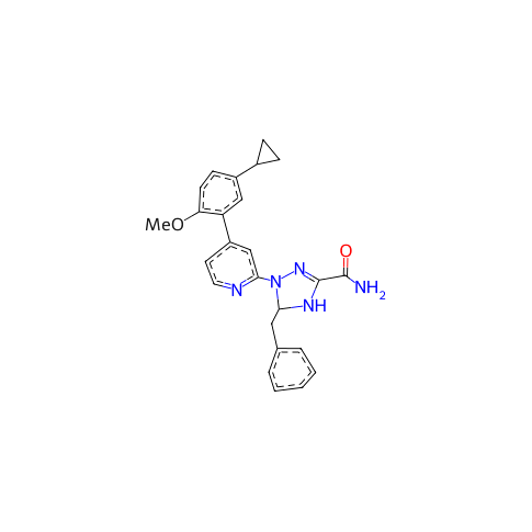 COc1ccc(C2CC2)cc1-c1ccnc(N2N=C(C(N)=O)NC2Cc2ccccc2)c1